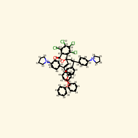 O=C1OC(C=C(c2ccc(Oc3ccccc3)cc2)c2ccc(N3CCCC3)cc2)(C=C(c2ccc(Oc3ccccc3)cc2)c2ccc(N3CCCC3)cc2)c2c(Cl)c(Cl)c(Cl)c(Cl)c21